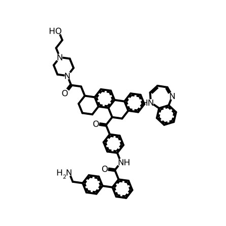 C1=CNc2ccccc2N=C1.NCc1ccc(-c2ccccc2C(=O)Nc2ccc(C(=O)C3Cc4ccccc4-c4ccc5c(c43)CCCC5CC(=O)N3CCN(CCO)CC3)cc2)cc1